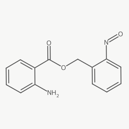 Nc1ccccc1C(=O)OCc1ccccc1N=O